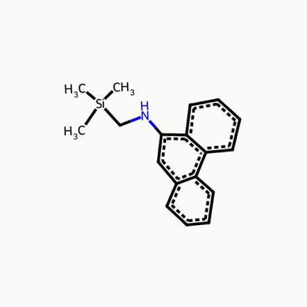 C[Si](C)(C)CNc1cc2ccccc2c2ccccc12